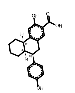 O=C(O)c1cc2c(cc1O)[C@@H]1CCCC[C@@H]1[C@H](c1ccc(O)cc1)C2